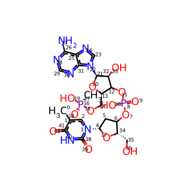 Cc1cn([C@@H]2CC(OP(=O)(O)OC3[C@@H](COP(C)(=O)O)O[C@@H](n4cnc5c(N)ncnc54)[C@H]3O)[C@H](CO)O2)c(=O)[nH]c1=O